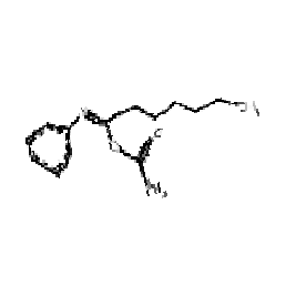 CCCCCCC(=Nc1ccccc1)OC(C)=O